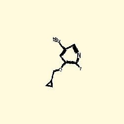 CC(C)(C)c1cnc(F)c(OCC2CC2)c1